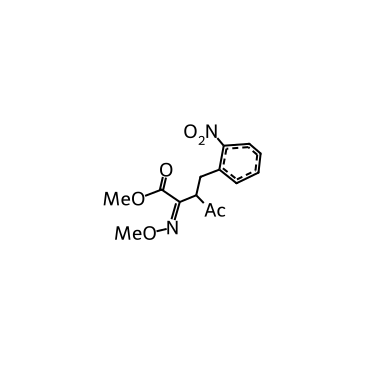 CO/N=C(\C(=O)OC)C(Cc1ccccc1[N+](=O)[O-])C(C)=O